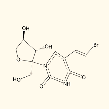 O=c1[nH]c(=O)n([C@@]2(CO)OC[C@@H](O)[C@@H]2O)cc1/C=C/Br